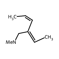 C/C=C\C(=C/C)CNC